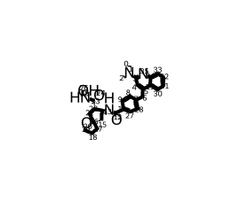 CN(C)c1cc(Cc2ccc(C(=O)N[C@@H]3C[C@@]4(CCCO4)C[C@@H]3C(=O)NO)cc2)c2ccccc2n1